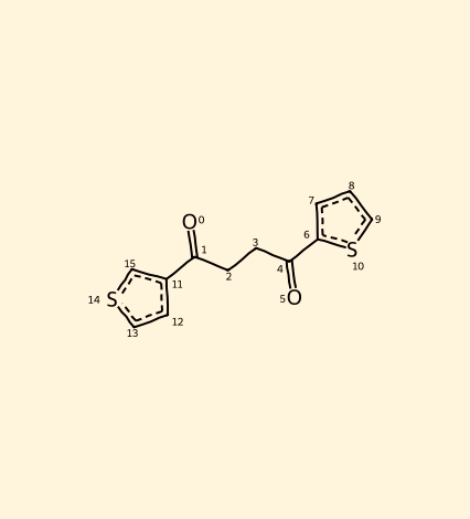 O=C(CCC(=O)c1cccs1)c1ccsc1